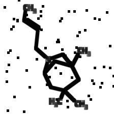 CC=CCN1CC2(C)CC1CC(C)(C)C2